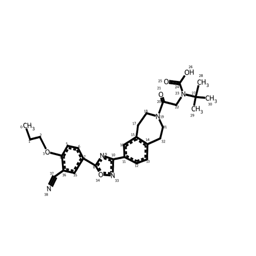 CCCOc1ccc(-c2nc(-c3ccc4c(c3)CCN(C(=O)CN(C(=O)O)C(C)(C)C)CC4)no2)cc1C#N